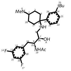 CNC1CCC(NC[C@@H](O)[C@H](Cc2cc(F)cc(F)c2)NC(C)=O)(c2cccc(C(C)(C)C)c2)CC1